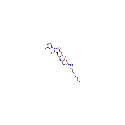 CCCCCCCCNc1ccc2nc3cc(C(=O)Nc4cccc(C)c4)c(=O)cc-3oc2c1